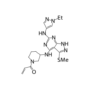 C=CC(=O)N1CCCC(Nc2nc(Nc3cnn(CC)c3)nc3[nH]nc(SC)c23)C1